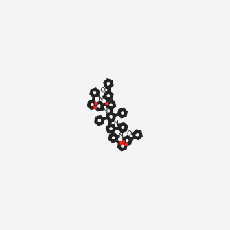 Cc1ccc2c(oc3ccccc32)c1N(c1ccccc1-c1ccccc1)c1cccc2c1c1cccc3c4c(-c5ccccc5)c5c(c(-c6ccccc6)c4n2c13)c1cccc2c3c(N(c4ccccc4-c4ccccc4)c4c(C)ccc6c4oc4ccccc46)cccc3n5c21